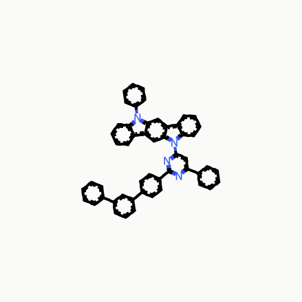 c1ccc(-c2cccc(-c3ccc(-c4nc(-c5ccccc5)cc(-n5c6ccccc6c6cc7c(cc65)c5ccccc5n7-c5ccccc5)n4)cc3)c2)cc1